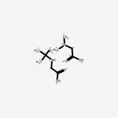 CC(C)(C)NCC(=O)O.CN(C)CC(=O)O